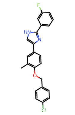 Cc1cc(-c2c[nH]c(-c3cccc(F)c3)n2)ccc1OCc1ccc(Cl)cc1